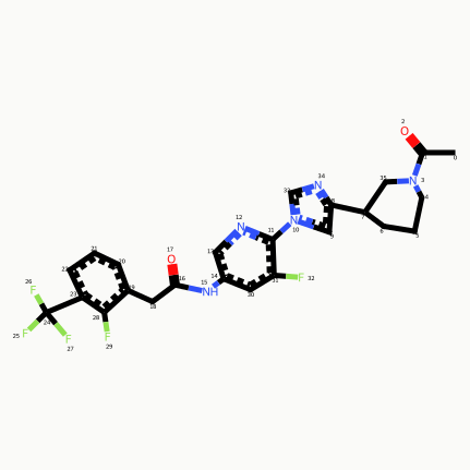 CC(=O)N1CCCC(c2cn(-c3ncc(NC(=O)Cc4cccc(C(F)(F)F)c4F)cc3F)cn2)C1